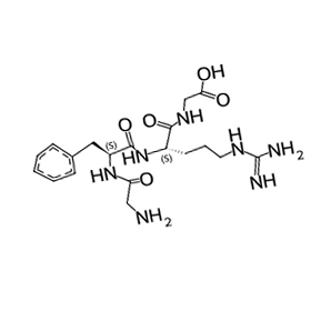 N=C(N)NCCC[C@H](NC(=O)[C@H](Cc1ccccc1)NC(=O)CN)C(=O)NCC(=O)O